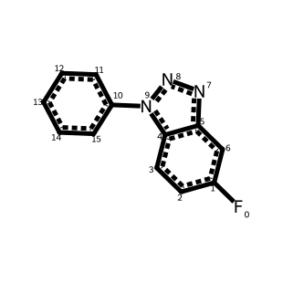 Fc1ccc2c(c1)nnn2-c1ccccc1